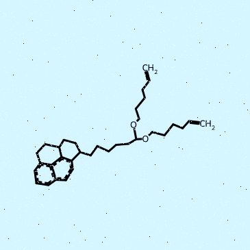 C=CCCCCOC(CCCCCC1CCC2CCc3cccc4ccc1c2c34)OCCCCC=C